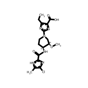 CCc1nc(N2CC[C@H](NC(=O)c3nc(Cl)c(C)[nH]3)[C@H](OC)C2)sc1C(=O)O